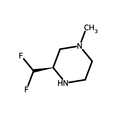 CN1CCN[C@@H](C(F)F)C1